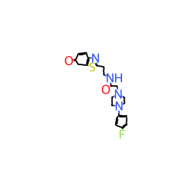 O=C1C=Cc2nc(CCNC(=O)CN3CCN(c4ccc(F)cc4)CC3)sc2C1